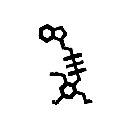 COCc1cc(C)cc(COC)c1OS(=O)(=O)C(F)(F)S(=O)(=O)O/N=C1\CCc2ccccc21